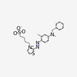 Cc1cc(N(C)Cc2ccccc2)ccc1/N=N/c1scc[n+]1CCCCS(=O)(=O)[O-]